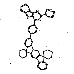 C1=C2C(CC3=C1c1ccccc1C31CCCCC1)c1cc(-c3ccc(-c4nc(-c5ccccc5)nc5c4sc4ccccc45)cc3)ccc1C21CCCCC1